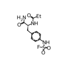 CCC(=O)N[C@@H](Cc1ccc(NS(=O)(=O)F)cc1)C(N)=O